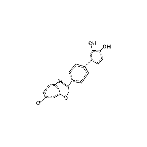 Oc1ccc(-c2ccc(C3=Nc4ccc(Cl)cc4OC3)cc2)cc1O